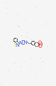 c1ccc2c(N3CCN(CCc4ccc5c(c4)CCC4(C5)OCCO4)CC3)nsc2c1